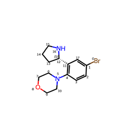 Brc1ccc(N2CCOCC2)c([C@@H]2CCCN2)c1